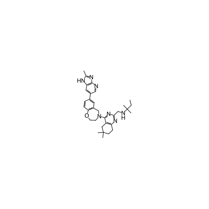 CCC(C)(C)NCc1nc2c(c(N3CCOc4ccc(-c5cnc6nc(C)[nH]c6c5)cc4C3)n1)CC(C)(C)CC2